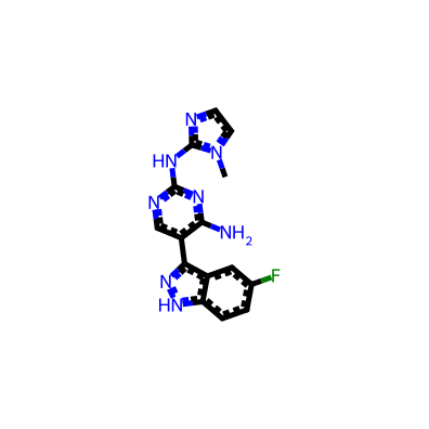 Cn1ccnc1Nc1ncc(-c2n[nH]c3ccc(F)cc23)c(N)n1